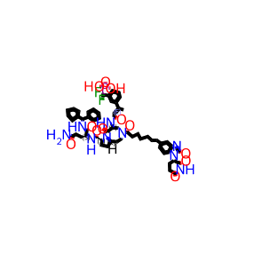 C/C(=C\C(=O)N[C@H]1CN(C(=O)CCCCCCc2ccc3c(c2)n(C)c(=O)n3C2CCC(=O)NC2=O)CC[C@H]2CC[C@@H](C(=O)N[C@@H](CCC(N)=O)C(=O)NC(c3ccccc3)c3ccccc3)N2C1=O)c1cccc(C(F)(F)P(=O)(O)O)c1